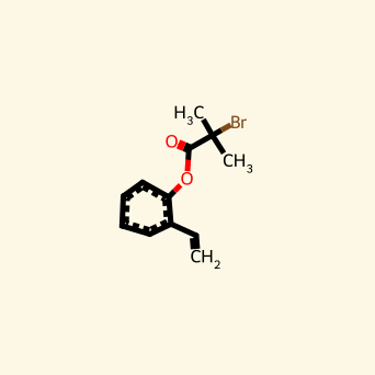 C=Cc1ccccc1OC(=O)C(C)(C)Br